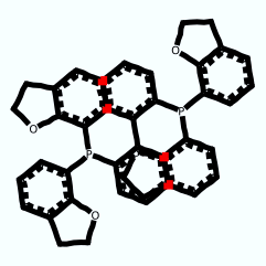 c1ccc(P(c2cccc3c2OCC3)c2cccc3c2OCC3)c(-c2ccccc2P(c2cccc3c2OCC3)c2cccc3c2OCC3)c1